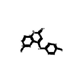 Cc1ccc(Sc2cc(=O)oc3ccc(C)cc23)cc1